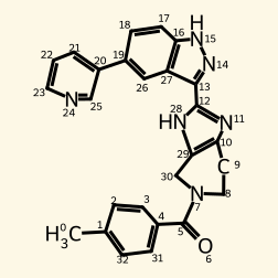 Cc1ccc(C(=O)N2CCc3nc(-c4n[nH]c5ccc(-c6cccnc6)cc45)[nH]c3C2)cc1